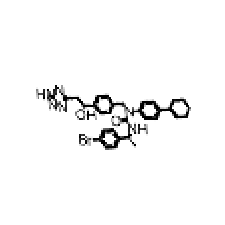 C[C@H](NC(=O)N(Cc1ccc([C@H](O)Cc2nn[nH]n2)cc1)c1ccc(C2=CCCCC2)cc1)c1ccc(Br)cc1